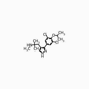 [CH2]C(C)(Cc1c[nH]nc1-c1cc(Cl)c(OC(C)C)c(Cl)c1)NC